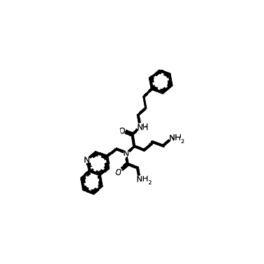 NCCCC(C(=O)NCCCc1ccccc1)N(Cc1cnc2ccccc2c1)C(=O)CN